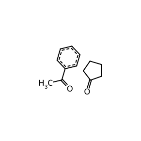 CC(=O)c1ccccc1.O=C1CCCC1